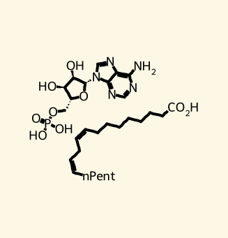 CCCCC/C=C\C/C=C\CCCCCCCC(=O)O.Nc1ncnc2c1ncn2[C@@H]1O[C@H](COP(=O)(O)O)[C@@H](O)[C@H]1O